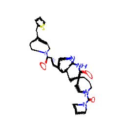 O=C(/C=C/c1cnc2c(c1)CC1(CCN(C(=O)N3CCC3)CC1)C(=O)N2)N1CC=C(Cc2cccs2)CC1